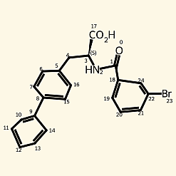 O=C(N[C@@H](Cc1ccc(-c2ccccc2)cc1)C(=O)O)c1cccc(Br)c1